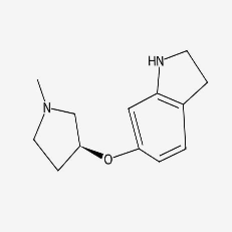 CN1CC[C@H](Oc2ccc3c(c2)NCC3)C1